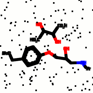 COCc1ccc(OCC(O)CNC(C)C)cc1.O=C(O)C(O)C(O)C(=O)O